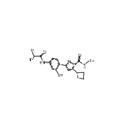 CCC(C)NC(=O)n1nc(-c2ccc(NC(=O)C(CC)CC)cc2O)cc1C1CCC1